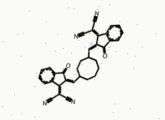 N#CC(C#N)=C1C(=CC2CCCCC(/C=C3\C(=O)c4ccccc4C3=C(C#N)C#N)CC2)C(=O)c2ccccc21